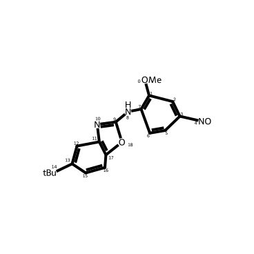 COc1cc(N=O)ccc1Nc1nc2cc(C(C)(C)C)ccc2o1